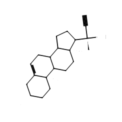 C#C[C@](C)(O)C1CCC2C3CC=C4C[C@@H](O)CC[C@]4(C)C3CC[C@@]21C